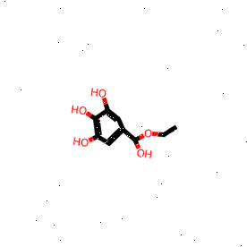 CCOC(O)c1cc(O)c(O)c(O)c1